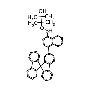 CC(C)(O)C(C)(C)OBc1ccc(-c2ccc3c(c2)C2(c4ccccc4-c4ccccc42)c2ccccc2-3)c2ccccc12